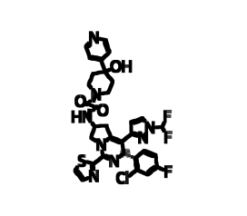 O=S(=O)(NC1CC2=C(c3ccn(C(F)F)n3)[C@H](c3ccc(F)cc3Cl)N=C(c3nccs3)N2C1)N1CCC(O)(c2ccncc2)CC1